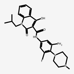 CC(C)Cn1c(=O)c(C(=O)Nc2cc(F)c(N3CCN(C)CC3)c(P)c2)c(O)c2ccccc21